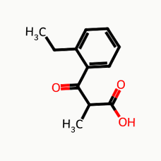 CCc1ccccc1C(=O)C(C)C(=O)O